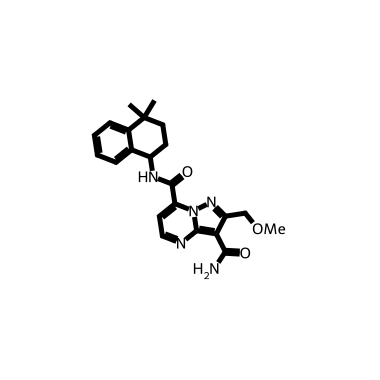 COCc1nn2c(C(=O)NC3CCC(C)(C)c4ccccc43)ccnc2c1C(N)=O